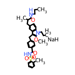 CCCNC(=O)C(C)Cc1ccc2c(c1)c(Cc1ccc(C(=O)NS(=O)(=O)c3ccccc3C)cc1OC)cn2CCC.[NaH]